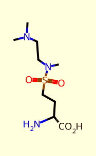 CN(C)CCN(C)S(=O)(=O)CCC(N)C(=O)O